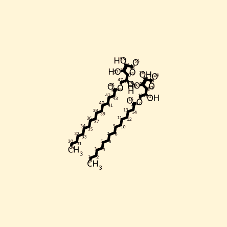 CCCCCCCCCCCCCCCC(=O)OC[C@H](O)[C@H]1OC(=O)C(O)=C1O.CCCCCCCCCCCCCCCC(=O)OC[C@H](O)[C@H]1OC(=O)C(O)=C1O